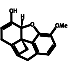 COc1ccc2c3c1O[C@H]1C(O)=CCC4=C(C2)C[C@]431